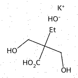 CCC(CO)(CO)C(=O)O.[K+].[OH-]